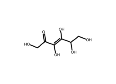 O=C(CO)/C(O)=C(\O)C(O)CO